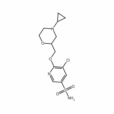 NS(=O)(=O)c1cnc(OCC2CN(C3CC3)CCO2)c(Cl)c1